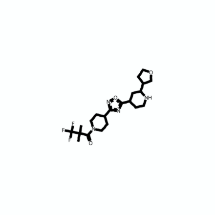 CC(C)(C(=O)N1CCC(c2noc(C3CCNC(C4CCOC4)C3)n2)CC1)C(F)(F)F